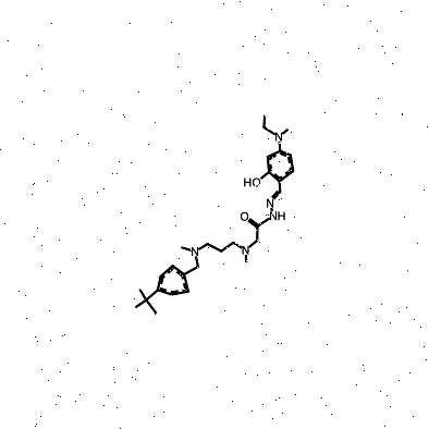 CCN(C)c1ccc(/C=N/NC(=O)CN(C)CCCN(C)Cc2ccc(C(C)(C)C)cc2)c(O)c1